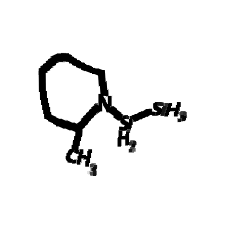 CC1CCCCN1[SiH2][SiH3]